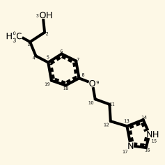 CC(CO)Cc1ccc(OCCCc2c[nH]cn2)cc1